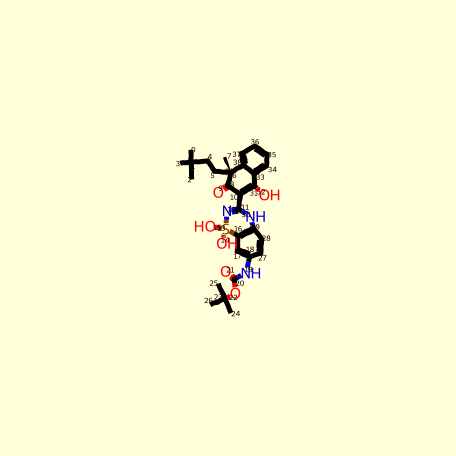 CC(C)(C)CC[C@@]1(C)C(=O)C(C2=NS(O)(O)c3cc(NC(=O)OC(C)(C)C)ccc3N2)=C(O)c2ccccc21